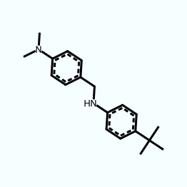 CN(C)c1ccc(CNc2ccc(C(C)(C)C)cc2)cc1